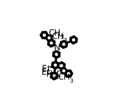 CCc1ccccc1-c1c(CC)cc(-c2ccc(N(c3ccc(-c4ccccc4)cc3)c3ccc4c(c3)C(C)(C)c3ccccc3-4)cc2)c2ccc3c(c12)C(C)(C)c1ccccc1-3